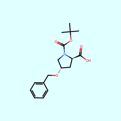 CC(C)(C)OC(=O)N1C[C@@H](OCc2ccccc2)C[C@@H]1C(=O)O